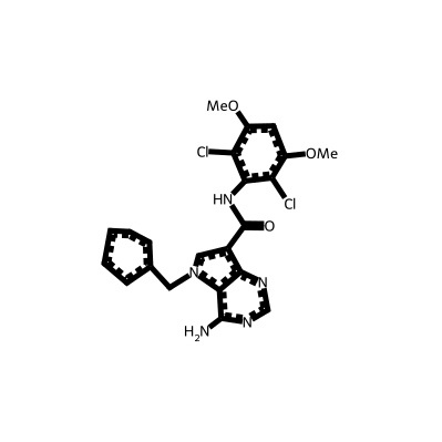 COc1cc(OC)c(Cl)c(NC(=O)c2cn(Cc3ccccc3)c3c(N)ncnc23)c1Cl